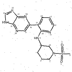 CS(=O)(=O)N1CCCC(Nc2ncccc2-c2cnc3[nH]cnc3n2)C1